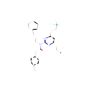 O=C(Cc1ccc(Br)cc1)N(COCC1=CC=CCC1)c1nc(OCC(F)(F)F)cc(OCC(F)(F)F)n1